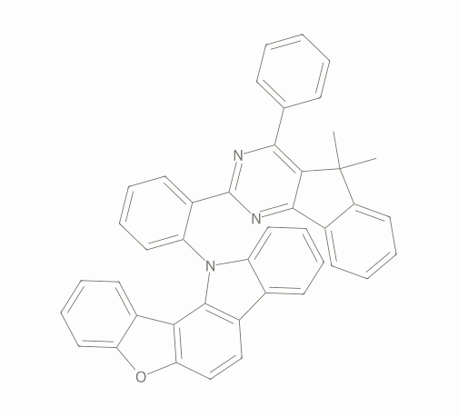 CC1(C)c2ccccc2-c2nc(-c3ccccc3-n3c4ccccc4c4ccc5oc6ccccc6c5c43)nc(-c3ccccc3)c21